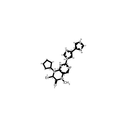 CCC1C(=O)N(C)c2cnc(-n3cnc(-c4cscn4)c3)nc2N1C1CCCC1